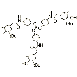 Cc1cc(CC(=O)Nc2ccc(OP(Oc3ccc(NC(=O)Cc4cc(C)c(O)c(C(C)(C)C)c4)cc3)Oc3ccc(NC(=O)Cc4cc(C)c(O)c(C(C)(C)C)c4)cc3)cc2)cc(C(C)(C)C)c1C